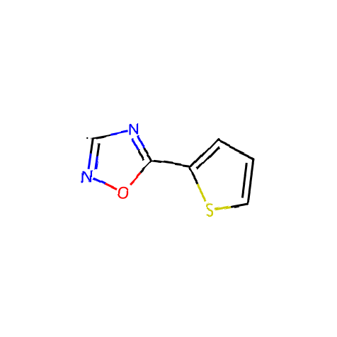 [c]1noc(-c2cccs2)n1